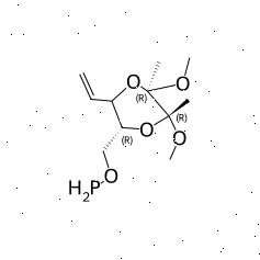 C=CC1O[C@@](C)(OC)[C@](C)(OC)O[C@@H]1COP